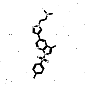 Cc1ccc(S(=O)(=O)n2cc(I)c3cc(-c4cnn(CCN(C)C)c4)cnc32)cc1